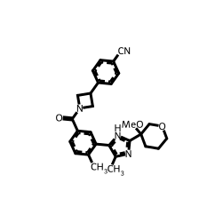 COC1(c2nc(C)c(-c3cc(C(=O)N4CC(c5ccc(C#N)cc5)C4)ccc3C)[nH]2)CCCOC1